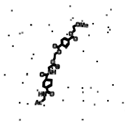 COCCOC(=O)c1ccc(C(=O)OCCOC(=O)CNC(=O)c2ccc(C(=O)NCC(C)=O)cc2)cc1